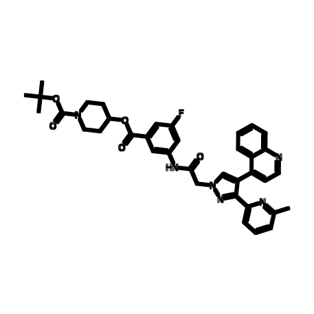 Cc1cccc(-c2nn(CC(=O)Nc3cc(F)cc(C(=O)OC4CCN(C(=O)OC(C)(C)C)CC4)c3)cc2-c2ccnc3ccccc23)n1